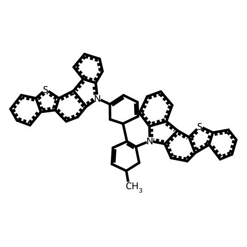 CC1C=CC(C2C=CC=C(n3c4ccccc4c4c5sc6ccccc6c5ccc43)C2)=C(n2c3ccccc3c3c4sc5ccccc5c4ccc32)C1